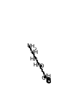 NCCCNCCCCNCCCNC(=O)CCCCCNC(=O)C1C2CC3CC(C2)CC1C3